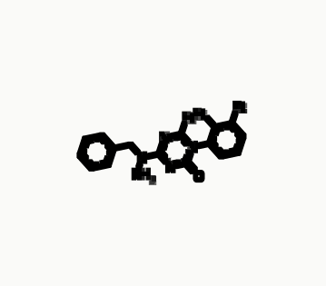 CCc1cccc(-n2c(CC)nc(N(N)Cc3ccccc3)nc2=O)c1CC